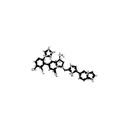 C[C@H]1C[C@@H](Cc2ncc(-c3ccc4nccn4c3)[nH]2)n2c1cc(-c1c(-n3cnnn3)ccc(Cl)c1F)cc2=O